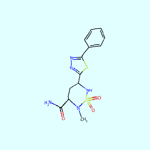 CN1C(C(N)=O)CC(c2nnc(-c3ccccc3)s2)NS1(=O)=O